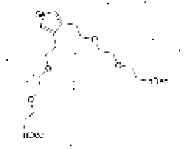 CCCCCCCCCCCCOCCOCCc1c[se]cc1CCOCCOCCCCCCCCCCCC